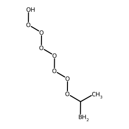 BC(C)OOOOOOOO